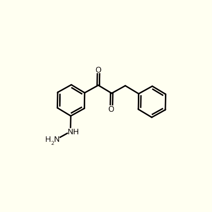 NNc1cccc(C(=O)C(=O)Cc2ccccc2)c1